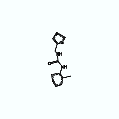 Cc1ccccc1NC(=O)NCc1cccs1